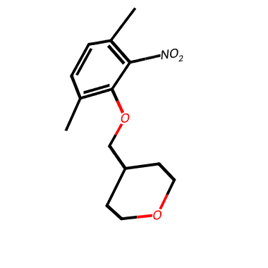 Cc1ccc(C)c([N+](=O)[O-])c1OCC1CCOCC1